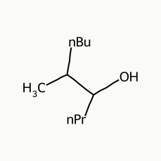 CCCCC(C)C(O)CCC